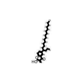 C=C(C(=O)O)C(=O)c1cccc(C(CCC)CCCCCCCCCCCCCC)c1